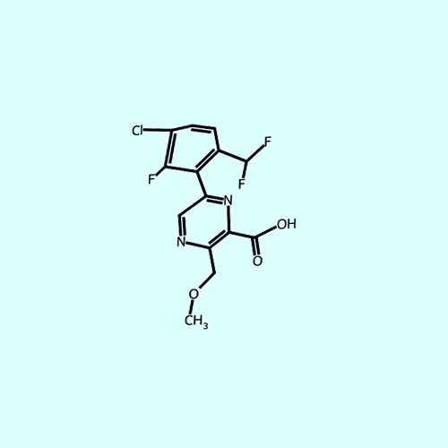 COCc1ncc(-c2c(C(F)F)ccc(Cl)c2F)nc1C(=O)O